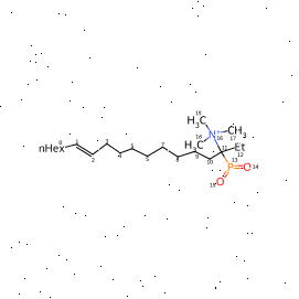 CCCCCCC=CCCCCCCCCC(CC)(P(=O)=O)[N+](C)(C)C